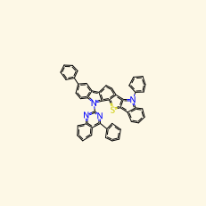 c1ccc(-c2ccc3c(c2)c2ccc4c(sc5c6ccccc6n(-c6ccccc6)c45)c2n3-c2nc(-c3ccccc3)c3ccccc3n2)cc1